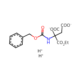 CCOC(=O)C(CC(=O)[O-])(NC(=O)OCc1ccccc1)C(=O)[O-].[H+].[H+]